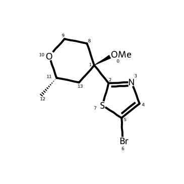 CO[C@]1(c2ncc(Br)s2)CCO[C@@H](C)C1